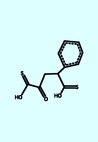 O=C(CC(C(O)=S)c1ccccc1)C(O)=S